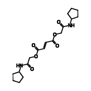 O=C(COC(=O)/C=C/C(=O)OCC(=O)NC1CCCC1)NC1CCCC1